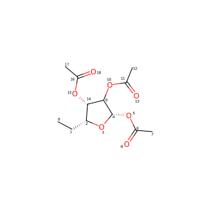 CC[C@H]1O[C@@H](OC(C)=O)C(OC(C)=O)[C@H]1OC(C)=O